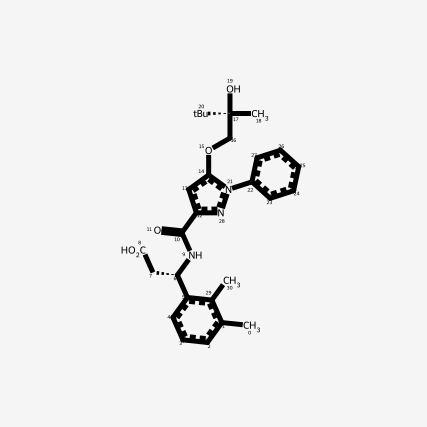 Cc1cccc([C@H](CC(=O)O)NC(=O)c2cc(OC[C@](C)(O)C(C)(C)C)n(-c3ccccc3)n2)c1C